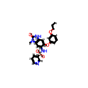 CCCOc1cccc(Oc2cc3[nH]c(=O)n(C)c3cc2NS(=O)(=O)c2cccnc2)c1